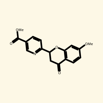 COC(=O)c1ccc(C2CC(=O)c3ccc(OC)cc3O2)nc1